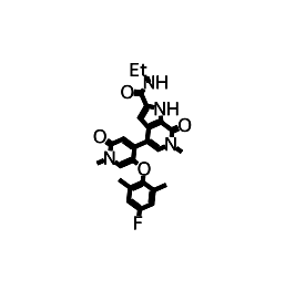 CCNC(=O)c1cc2c(-c3cc(=O)n(C)cc3Oc3c(C)cc(F)cc3C)cn(C)c(=O)c2[nH]1